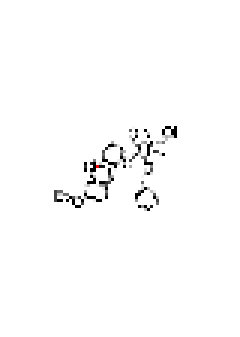 CCOc1ccc(Cc2cc([C@]34OC[C@]([C@@H](C)O)(O3)[C@@H](C)[C@H](OCc3ccccc3)[C@H]4OCc3ccccc3)ccc2Cl)cc1